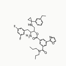 CCCN(CCC)C(=O)c1cc(C(=O)OC(CNC2(c3cccc(CC)c3)CC2)C(N)Cc2cc(F)cc(F)c2)cc(-c2ncco2)c1